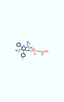 Cc1c(-c2ccccc2)nc(C(C)C)c(C=CCO[PH](=O)CCCC(=O)O)c1-c1ccc(F)cc1